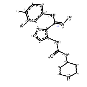 O=C(Nc1conc1/C(=N/O)Nc1ccc(F)c(Br)c1)NC1CCNCC1